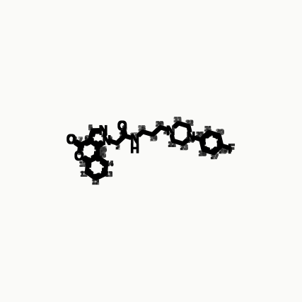 O=C(Cn1ncc2c(=O)oc3ccccc3c21)NCCCN1CCN(c2ccc(F)cc2)CC1